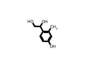 Cc1cc(O)ccc1C(O)CO